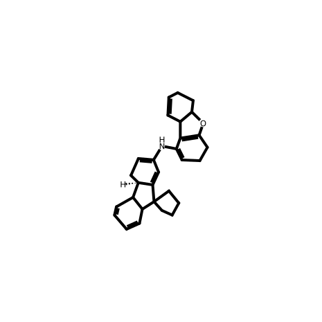 C1=CC2C(C=C1)C1(CCCC1)C1=CC(NC3=CCCC4=C3C3C=CCCC3O4)=CC[C@@H]12